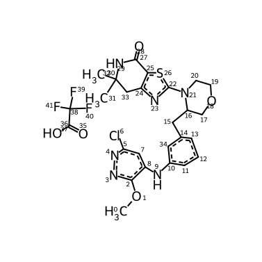 COc1nnc(Cl)cc1Nc1cccc(CC2COCCN2c2nc3c(s2)C(=O)NC(C)(C)C3)c1.O=C(O)C(F)(F)F